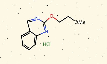 COCCOc1ncc2ccccc2n1.Cl